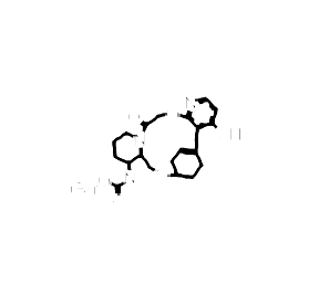 Cc1ccnc2c1C1=CCC(CC1)OCC1C(NC(=O)OC(C)(C)C)CCCN1C(=O)CO2